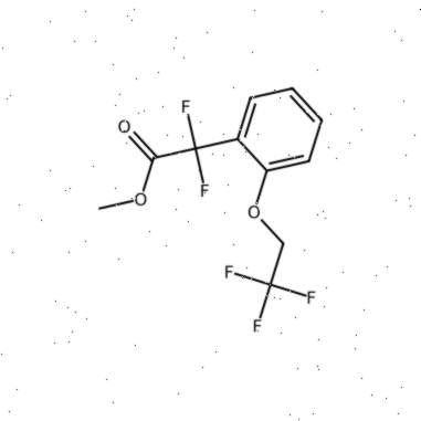 COC(=O)C(F)(F)c1ccccc1OCC(F)(F)F